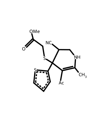 COC(=O)CSC1(c2cccs2)C(C(C)=O)=C(C)NCC1C#N